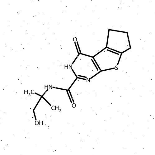 CC(C)(CO)NC(=O)c1nc2sc3c(c2c(=O)[nH]1)CCC3